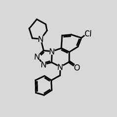 O=c1c2cc(Cl)ccc2n2c(N3CCCCC3)nnc2n1Cc1ccccc1